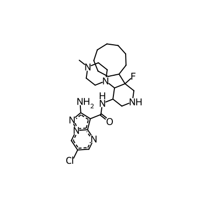 CN1CCN(C2C(NC(=O)c3c(N)nn4cc(Cl)cnc34)CNCC2(F)C2CCCCCCCC2)CC1